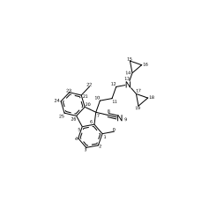 Cc1cccc2c1C(C#N)(CCCN(C1CC1)C1CC1)c1c(C)cccc1-2